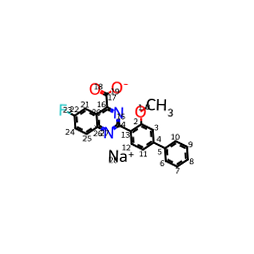 COc1cc(-c2ccccc2)ccc1-c1nc(C(=O)[O-])c2cc(F)ccc2n1.[Na+]